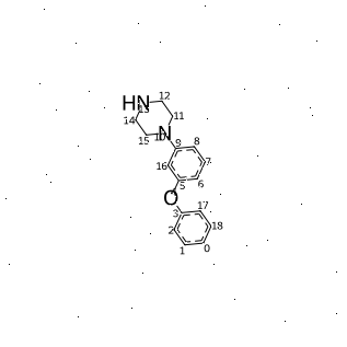 c1ccc(Oc2cccc(N3CCNCC3)c2)cc1